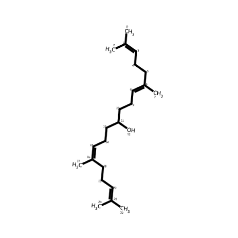 CC(C)=CCCC(C)=CCCC(O)CCC=C(C)CCC=C(C)C